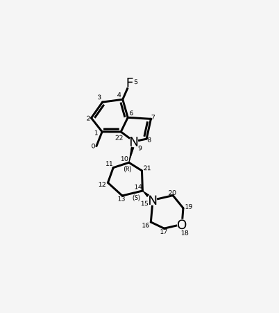 Cc1ccc(F)c2ccn([C@@H]3CCC[C@H](N4CCOCC4)C3)c12